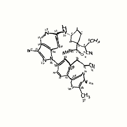 CNC(=O)C1(C(C)C#N)CC[C@@H](Nc2ncc3c(Br)nn(-c4ccc(-c5nnc(C)s5)c(CCC#N)c4)c3n2)C1